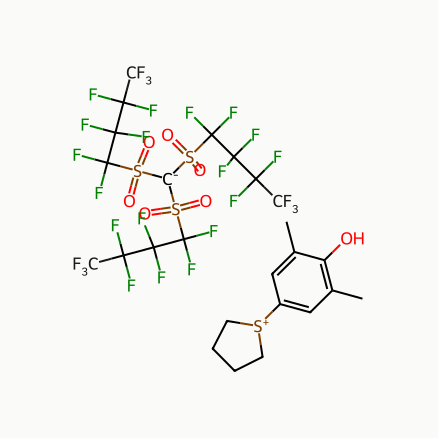 Cc1cc([S+]2CCCC2)cc(C)c1O.O=S(=O)([C-](S(=O)(=O)C(F)(F)C(F)(F)C(F)(F)C(F)(F)F)S(=O)(=O)C(F)(F)C(F)(F)C(F)(F)C(F)(F)F)C(F)(F)C(F)(F)C(F)(F)C(F)(F)F